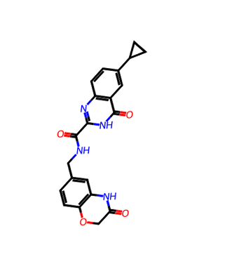 O=C1COc2ccc(CNC(=O)c3nc4ccc(C5CC5)cc4c(=O)[nH]3)cc2N1